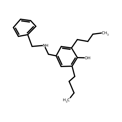 CCCCc1cc(CNCc2ccccc2)cc(CCCC)c1O